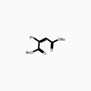 CC(C)COC(=O)C=C(C(=O)OCC(C)C)C(C)C